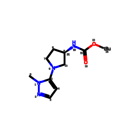 Cn1nccc1N1CC[C@@H](NC(=O)OC(C)(C)C)C1